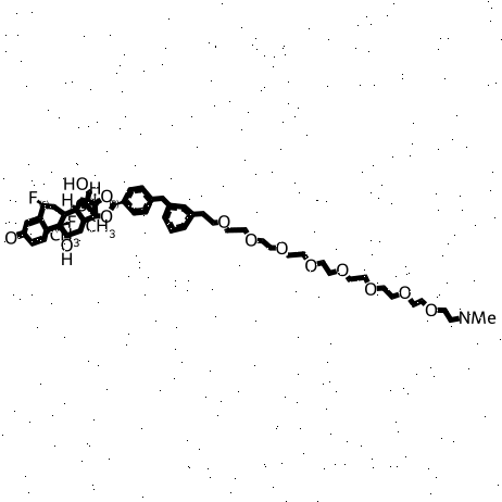 CNCCOCCOCCOCCOCCOCCOCCOCCOCCc1cccc(Cc2ccc([C@@H]3O[C@@H]4C[C@H]5C6C[C@H](F)C7=CC(=O)C=CC7(C)[C@@]6(F)C(O)CC5(C)C4(C(=O)CO)O3)cc2)c1